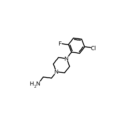 NCCN1CCN(c2cc(Cl)ccc2F)CC1